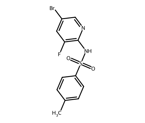 Cc1ccc(S(=O)(=O)Nc2ncc(Br)cc2F)cc1